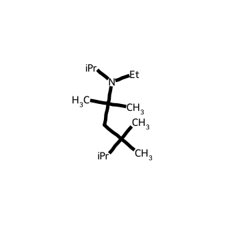 CCN(C(C)C)C(C)(C)CC(C)(C)C(C)C